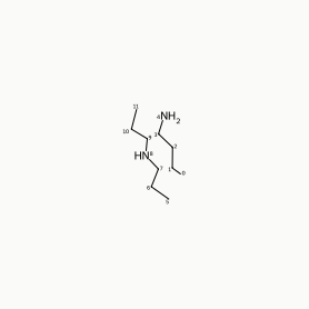 CCCCN.CCCNCCC